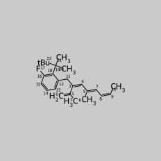 C=C(C)\C(=C/C(C)=C/C=C\C)Cc1cccc(F)c1C(C)(C)C(C)(C)C